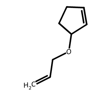 C=CCOC1C=CCC1